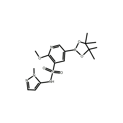 COc1ncc(B2OC(C)(C)C(C)(C)O2)cc1S(=O)(=O)Nc1ccnn1C